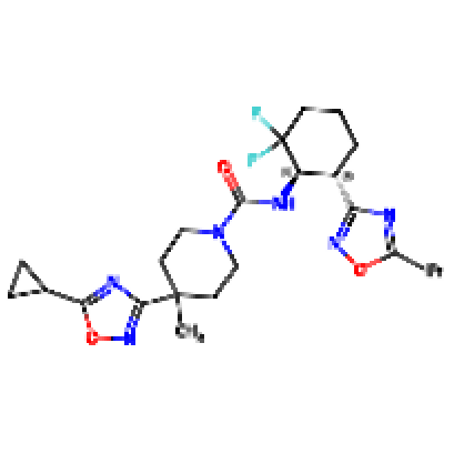 CC(C)c1nc([C@H]2CCCC(F)(F)[C@@H]2NC(=O)N2CCC(C)(c3noc(C4CC4)n3)CC2)no1